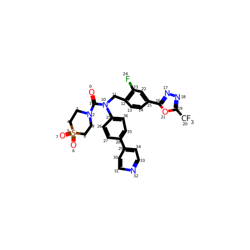 O=C(N1CCS(=O)(=O)CC1)N(Cc1ccc(-c2nnc(C(F)(F)F)o2)cc1F)c1ccc(-c2ccncc2)cc1